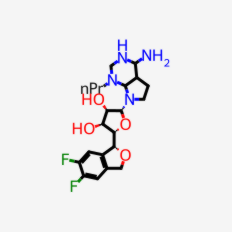 CCCN1CNC(N)C2CCN([C@@H]3O[C@H]([C@@H]4OCc5cc(F)c(F)cc54)[C@@H](O)[C@H]3O)C21